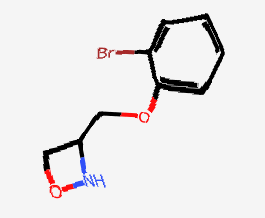 Brc1ccccc1OCC1CON1